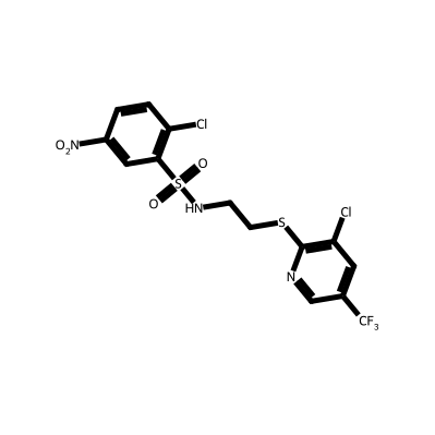 O=[N+]([O-])c1ccc(Cl)c(S(=O)(=O)NCCSc2ncc(C(F)(F)F)cc2Cl)c1